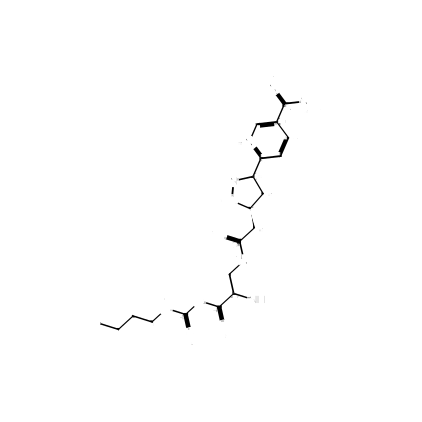 CCCCOC(=O)OC(=O)C(N)CNC(=O)C[C@@H]1CC(c2ccc(C(=N)N)cn2)NO1